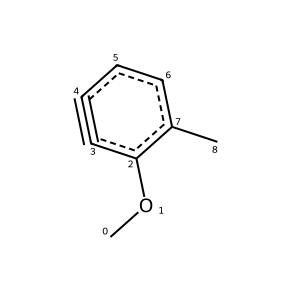 COc1c#cccc1C